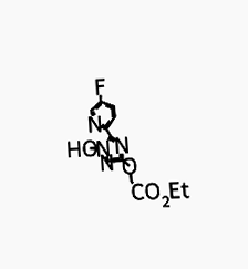 CCOC(=O)COc1nc(-c2ccc(F)cn2)n(O)n1